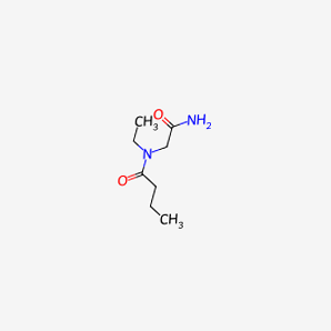 CCCC(=O)N(CC)CC(N)=O